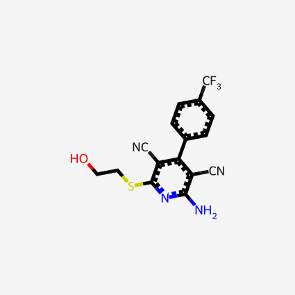 N#Cc1c(N)nc(SCCO)c(C#N)c1-c1ccc(C(F)(F)F)cc1